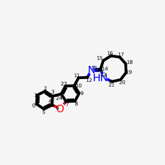 c1ccc2c(c1)oc1ccc(CCN=C3CCCCCCCN3)cc12